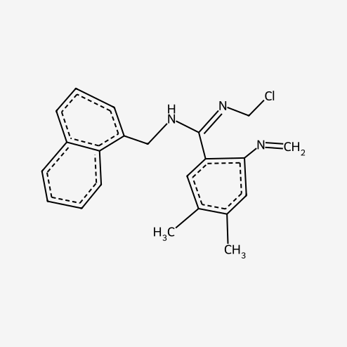 C=Nc1cc(C)c(C)cc1/C(=N\CCl)NCc1cccc2ccccc12